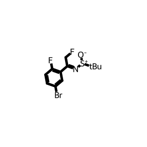 CC(C)(C)[S+]([O-])/N=C(\CF)c1cc(Br)ccc1F